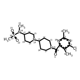 Cc1nc(Cl)c(C)c(C(=O)N2CCC(N3CCC(N(C)S(C)(=O)=O)CC3)CC2)n1